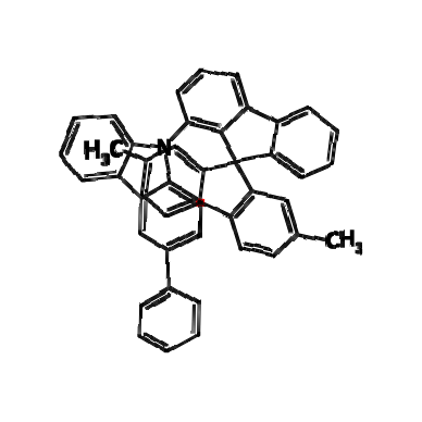 Cc1ccc2c(c1)C1(c3cc(C)ccc3-2)c2ccccc2-c2cccc(-n3c4ccccc4c4cc(-c5ccccc5)ccc43)c21